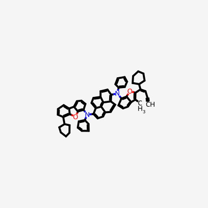 C#C/C=C(\c1oc2c(N(c3ccccc3)c3ccc4ccc5c(N(c6ccccc6)c6cccc7c6oc6c(C8CCCCC8)cccc67)ccc6ccc3c4c65)cccc2c1C)C1CCCCC1